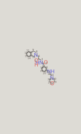 O=C(NCC(O)CN1CCc2ccccc2C1)c1cccc(NCCN2CCOCC2)c1